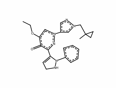 CCOc1cn(-c2cnn(CC3(C)CC3)c2)nc(C2=CCNN2c2ccccc2)c1=O